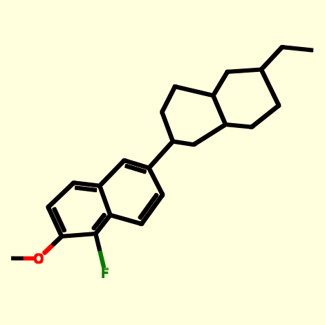 CCC1CCC2CC(c3ccc4c(F)c(OC)ccc4c3)CCC2C1